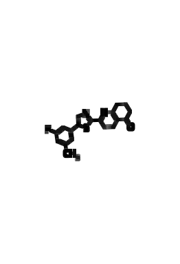 Cc1cc(F)cc(-c2cnc(-c3ccc4c(n3)CCCC4=O)s2)c1